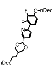 CCCCCCCCCCCC[C@H]1CO[C@H](c2ccc(-c3ccc(OCCCCCCCCCC)c(F)c3F)nc2)OC1